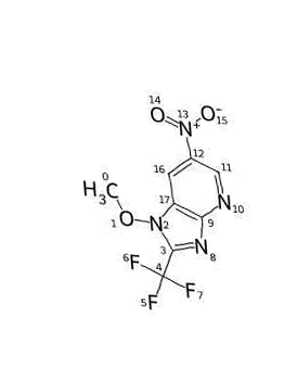 COn1c(C(F)(F)F)nc2ncc([N+](=O)[O-])cc21